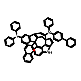 C1=CC23CC4=C(C=C2N(c2ccccc2)c2ccc(-c5ccccc5)cc2)c2cc(N(c5ccccc5)c5ccccc5)ccc2C4(c2ccc4ccccc4c2)c2cccc4[nH]c1c3c24